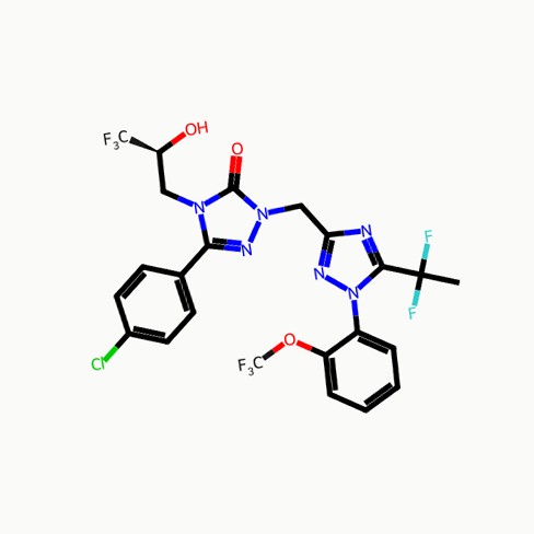 CC(F)(F)c1nc(Cn2nc(-c3ccc(Cl)cc3)n(C[C@H](O)C(F)(F)F)c2=O)nn1-c1ccccc1OC(F)(F)F